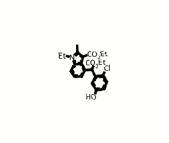 CCOC(=O)c1c(C)n(CC)c2cccc(C(C(=O)OCC)c3cc(O)ccc3Cl)c12